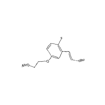 COCCOc1ccc(F)c(/C=C/C(C)(C)C)c1